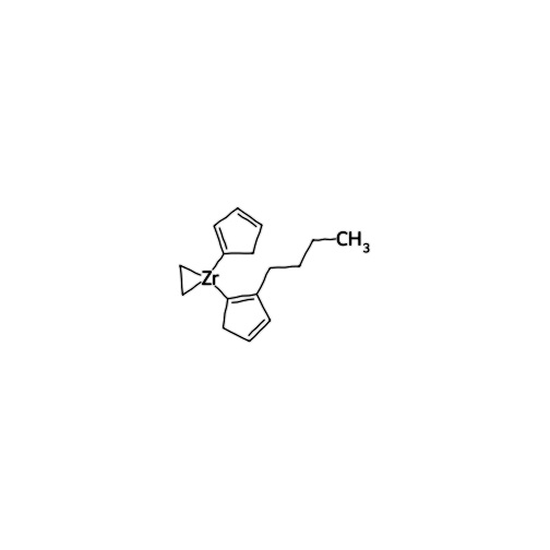 CCCCC1=[C]([Zr]2([C]3=CC=CC3)[CH2][CH2]2)CC=C1